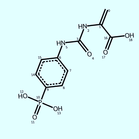 C=C(NC(=O)Nc1ccc(P(=O)(O)O)cc1)C(=O)O